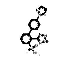 NS(=O)(=O)c1cccc(-c2ccc(-n3nccn3)cc2)c1-c1nn[nH]n1